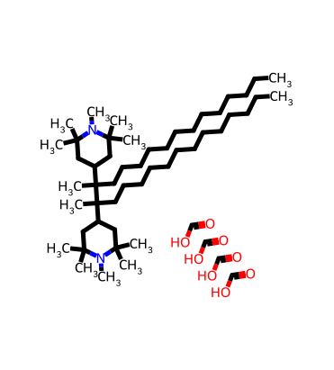 CCCCCCCCCCCCCC(C)(C1CC(C)(C)N(C)C(C)(C)C1)C(C)(CCCCCCCCCCCCC)C1CC(C)(C)N(C)C(C)(C)C1.O=CO.O=CO.O=CO.O=CO